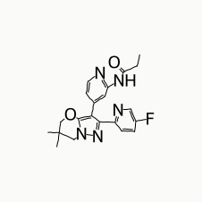 CCC(=O)Nc1cc(-c2c(-c3ccc(F)cn3)nn3c2OCC(C)(C)C3)ccn1